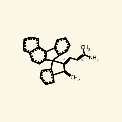 C=C1/C(=C\C=C(/C)N)C2(c3ccccc31)c1ccccc1-c1c2ccc2ccccc12